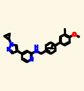 COc1ccc(C23CCC(CNc4cc(-c5cnn(C6CC6)c5)ccn4)(CC2)CC3)cc1C